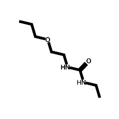 CCCOCCNC(=O)NCC